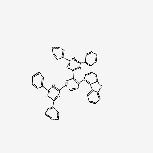 c1ccc(-c2nc(-c3ccccc3)nc(-c3ccc(-c4cccc5sc6ccccc6c45)c(-c4nc(-c5ccccc5)nc(-c5ccccc5)n4)c3)n2)cc1